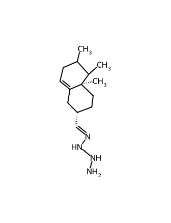 CC1CC=C2C[C@@H](/C=N/NNN)CC[C@]2(C)C1C